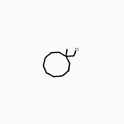 CC1(CCl)CCCCCCCCC1